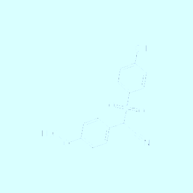 COc1ccc(C(C#N)S(=O)(=O)c2ccc(C)cc2)cc1